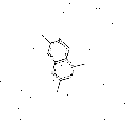 Cc1cc(C)c2cnc(C)cc2c1